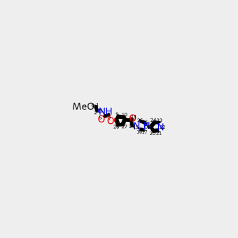 COCCNC(=O)COc1ccc(C(=O)CN2CCN(c3ccncc3)CC2)cc1